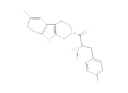 CCNC(Cc1ccc(Cl)cc1)C(=O)N1CCc2c([nH]c3ccc(Cl)cc23)C1